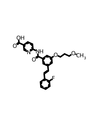 COCCCOc1cc(/C=C/c2ccccc2F)cc(C(=O)Nc2ccc(C(=O)O)cn2)c1